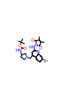 CC1=C(C)C(=O)N(Nc2cc(CN3CCC(NC(=O)OC(C)(C)C)C3)c3ccc(Br)cc3n2)C1=O